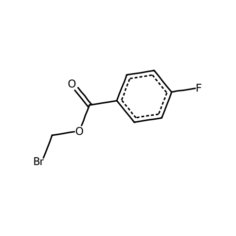 O=C(OCBr)c1ccc(F)cc1